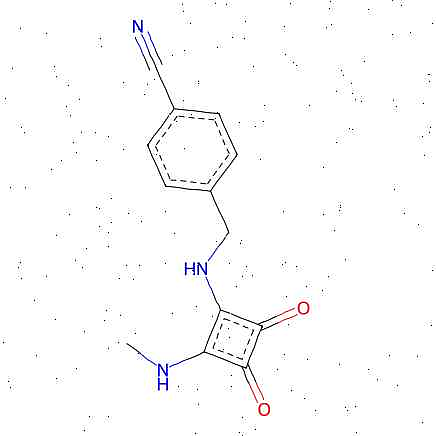 CNc1c(NCc2ccc(C#N)cc2)c(=O)c1=O